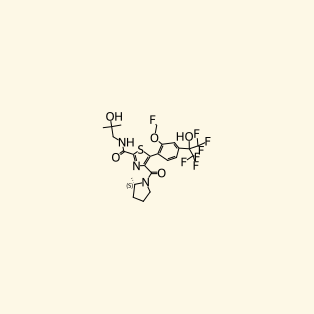 C[C@H]1CCCN1C(=O)c1nc(C(=O)NCC(C)(C)O)sc1-c1ccc(C(O)(C(F)(F)F)C(F)(F)F)cc1OCF